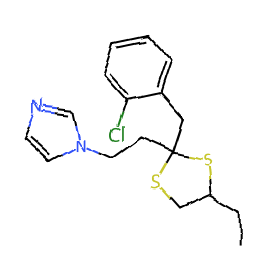 CCC1CSC(CCn2ccnc2)(Cc2ccccc2Cl)S1